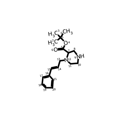 CC(C)(C)OC(=O)C1CNCCN1CC=Cc1ccccc1